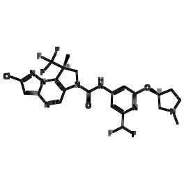 CN1CC[C@H](Oc2cc(NC(=O)N3C[C@@](C)(C(F)(F)F)c4c3cnc3cc(Cl)nn43)cc(C(F)F)n2)C1